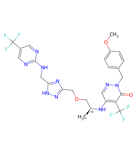 COc1ccc(Cn2ncc(N[C@@H](C)COCc3n[nH]c(CNc4ncc(C(F)(F)F)cn4)n3)c(C(F)(F)F)c2=O)cc1